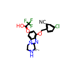 C[C@@H]1NCCn2c1nc1c(OCc3ccc(Cl)cc3C#N)cccc12.O=C(O)C(F)(F)F